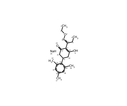 CCON=C(CC)C1=C(O)CC(c2c(C)cc(C)cc2C)CC1=O.[NaH]